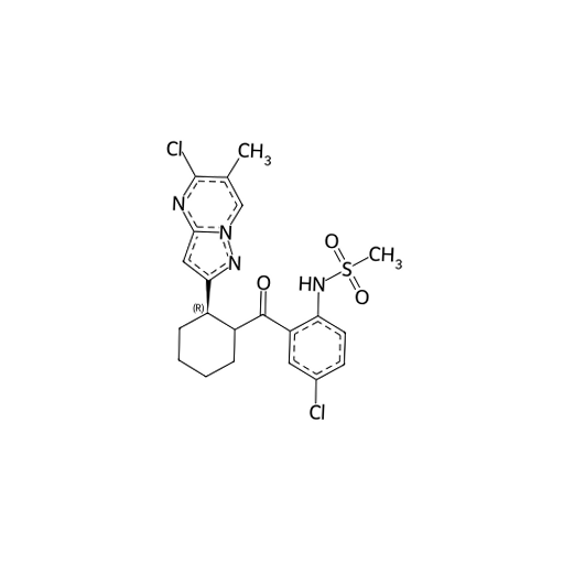 Cc1cn2nc([C@@H]3CCCCC3C(=O)c3cc(Cl)ccc3NS(C)(=O)=O)cc2nc1Cl